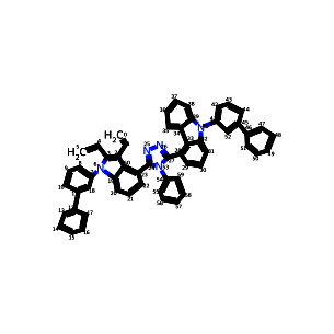 C=Cc1c(C=C)n(-c2cccc(-c3ccccc3)c2)c2cccc(-c3nnc(-c4cccc5c4c4ccccc4n5-c4cccc(-c5ccccc5)c4)n3-c3ccccc3)c12